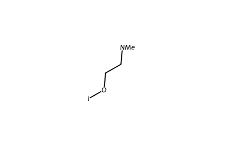 CNCCOI